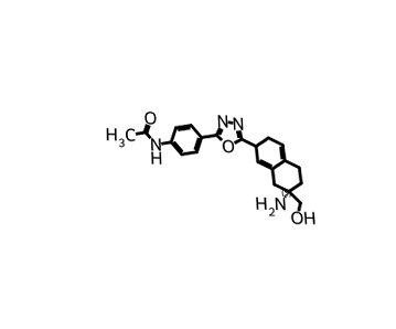 CC(=O)Nc1ccc(-c2nnc(C3C=C4C[C@](N)(CO)CCC4=CC3)o2)cc1